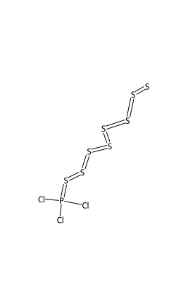 S=S=S=S=S=S=S=S=P(Cl)(Cl)Cl